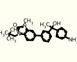 Cn1c(=O)n(CC(C)(C)C)c2ccc(-c3cccc(C(C)(O)c4ccc(N)cc4)c3)cc21